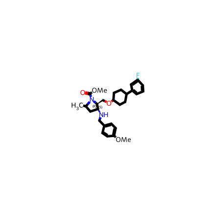 COC(=O)N1C(C)C[C@H](NCc2ccc(OC)cc2)[C@@H]1COC1CCC(c2cccc(F)c2)CC1